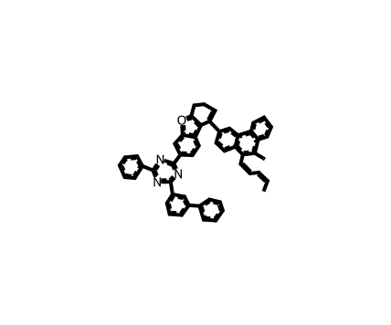 C/C=C\C=C/c1c(C)c2ccccc2c2cc(C3=CCCc4oc5cc(-c6nc(-c7ccccc7)nc(-c7cccc(-c8ccccc8)c7)n6)ccc5c43)ccc12